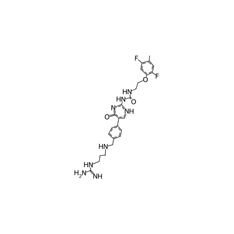 Cc1cc(F)c(OCCNC(=O)Nc2nc(=O)c(-c3ccc(CNCCCNC(=N)N)cc3)c[nH]2)cc1F